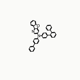 c1ccc(-c2ccc(N(c3ccc(-c4ccccc4-c4ccccc4)cc3)c3cnc4c(c3)oc3ccccc34)cc2)cc1